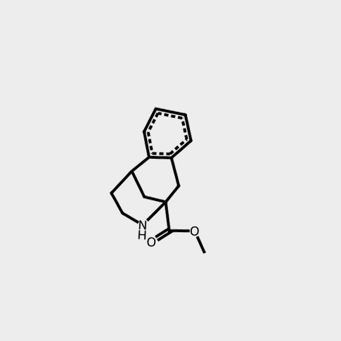 COC(=O)C12Cc3ccccc3C(CCN1)C2